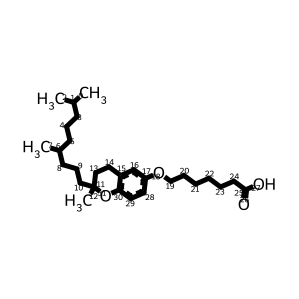 CC(C)CCCC(C)CCCC1(C)CCc2cc(OCCCCCCC(=O)O)ccc2O1